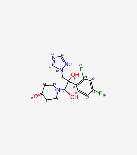 O=C1CCN([C@H](O)C(O)(Cn2cncn2)c2ccc(F)cc2F)CC1